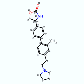 Cc1cc(CCN2CCCC2)ccc1-c1ccc([C@H]2COC(=O)N2)cc1